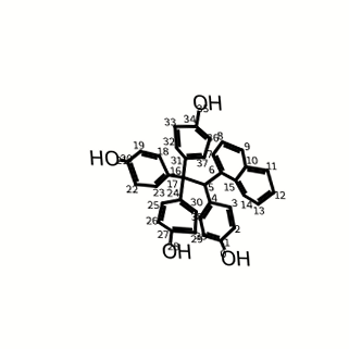 Oc1ccc(C(c2cccc3ccccc23)C(c2ccc(O)cc2)(c2ccc(O)cc2)c2ccc(O)cc2)cc1